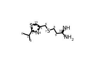 CC(C)c1nc(CSCCC(=N)N)cs1